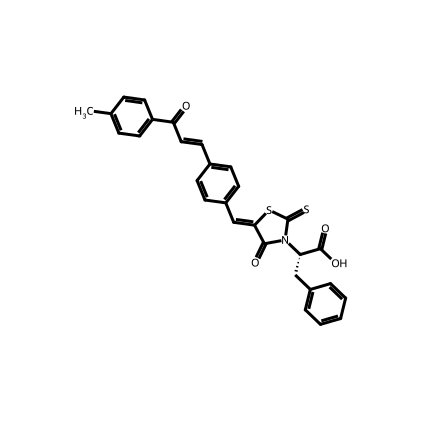 Cc1ccc(C(=O)/C=C/c2ccc(/C=C3\SC(=S)N([C@@H](Cc4ccccc4)C(=O)O)C3=O)cc2)cc1